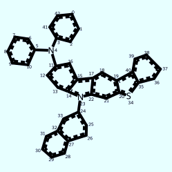 c1ccc(N(c2ccccc2)c2ccc3c(c2)c2cc4c(cc2n3-c2ccc3ccccc3c2)sc2ccccc24)cc1